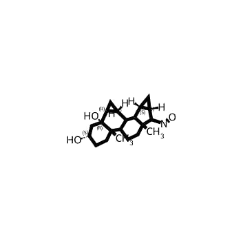 CC12CCC3C(C1[C@@H]1C[C@@H]1C2N=O)[C@H]1C[C@H]1[C@]1(O)C[C@@H](O)CCC31C